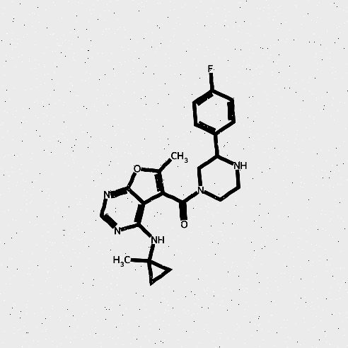 Cc1oc2ncnc(NC3(C)CC3)c2c1C(=O)N1CCNC(c2ccc(F)cc2)C1